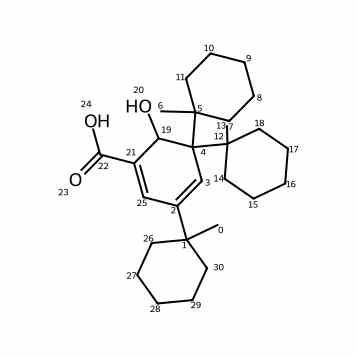 CC1(C2=CC(C3(C)CCCCC3)(C3(C)CCCCC3)C(O)C(C(=O)O)=C2)CCCCC1